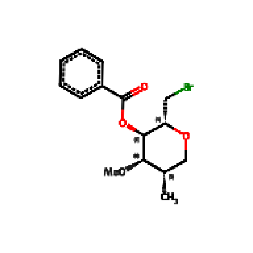 CO[C@H]1[C@@H](OC(=O)c2ccccc2)[C@H](CBr)OC[C@@H]1C